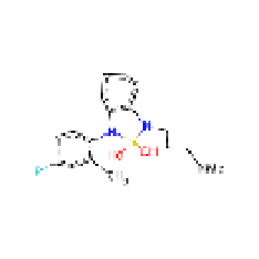 CNCCCN1c2ccccc2N(c2ccc(F)cc2C)S1(O)O